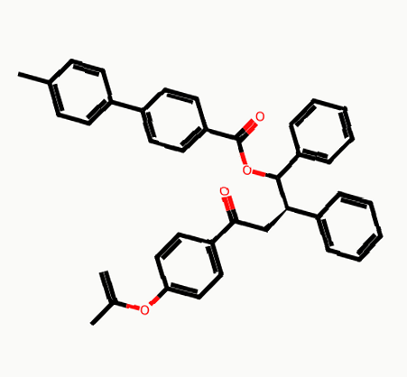 C=C(C)Oc1ccc(C(=O)C[C@H](c2ccccc2)C(OC(=O)c2ccc(-c3ccc(C)cc3)cc2)c2ccccc2)cc1